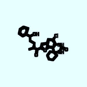 CN(CCC(O)c1ccccc1)C(=O)c1cc2cc(Cl)c3c(c2o1)C1(CCCCC1)NC(=O)N3